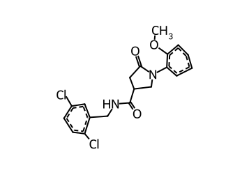 COc1ccccc1N1CC(C(=O)NCc2cc(Cl)ccc2Cl)CC1=O